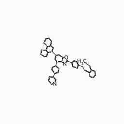 C=C/C=c1/cccc/c1=C/Cc1ccc(-c2nc3c(-c4ccc(-c5cccnc5)cc4)cc(-c4cc5ccccc5c5ccccc45)cc3o2)cc1